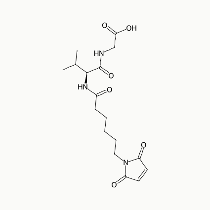 CC(C)[C@H](NC(=O)CCCCCN1C(=O)C=CC1=O)C(=O)NCC(=O)O